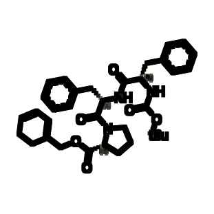 CC(C)(C)OC(=O)N[C@@H](Cc1ccccc1)C(=O)N[C@@H](Cc1ccccc1)C(=O)N1CCC[C@@H]1C(=O)OCC1=CC=CCC1